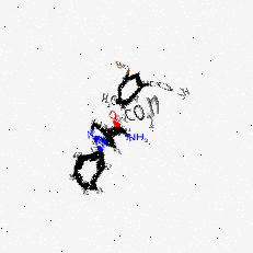 CC1(C(=O)O)C=C(Br)C=C(C(=O)O)C1.NC(=O)c1cnn(-c2ccccc2)c1